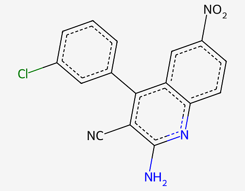 N#Cc1c(N)nc2ccc([N+](=O)[O-])cc2c1-c1cccc(Cl)c1